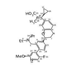 CCN(Cc1cc([C@@H]2CCc3ccc([C@H](C4CC4)[C@H](C)C(=O)O)cc3O2)ccc1-c1cc(OC)ncc1F)C(C)C